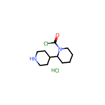 Cl.O=C(Cl)N1CCCCC1C1CCNCC1